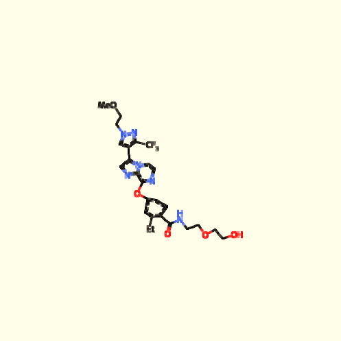 CCc1cc(Oc2nccn3c(-c4cn(CCOC)nc4C(F)(F)F)cnc23)ccc1C(=O)NCCOCCO